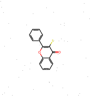 O=c1c([S])c(-c2ccccc2)oc2ccccc12